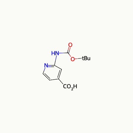 CC(C)(C)OC(=O)Nc1cc(C(=O)O)ccn1